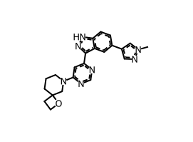 Cn1cc(-c2ccc3[nH]nc(-c4cc(N5CCCC6(CCO6)C5)ncn4)c3c2)cn1